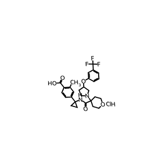 Cc1cc(C2(NC(=O)C3(N4CCC(Oc5cccc(C(F)(F)F)c5)C4)CCOCC3)CC2)ccc1C(=O)O.Cl